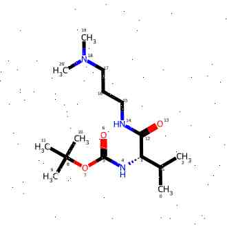 CC(C)[C@H](NC(=O)OC(C)(C)C)C(=O)NCCCN(C)C